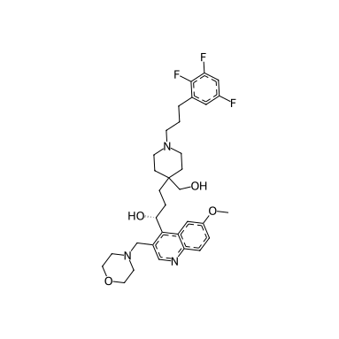 COc1ccc2ncc(CN3CCOCC3)c([C@H](O)CCC3(CO)CCN(CCCc4cc(F)cc(F)c4F)CC3)c2c1